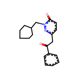 O=C(Cc1ccc(=O)n(CC2CCCCC2)n1)c1ccccc1